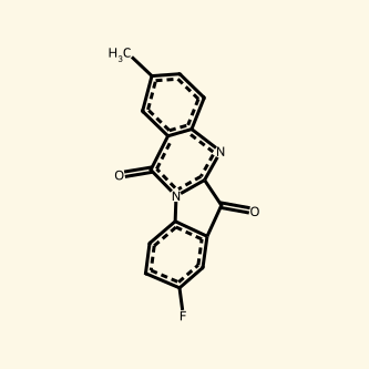 Cc1ccc2nc3n(c(=O)c2c1)-c1ccc(F)cc1C3=O